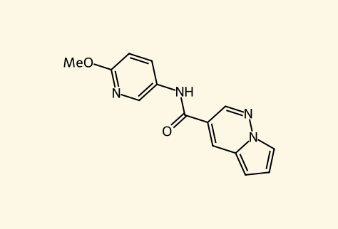 COc1ccc(NC(=O)c2cnn3cccc3c2)cn1